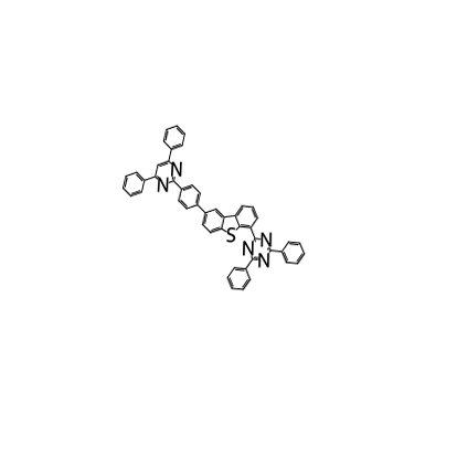 c1ccc(-c2cc(-c3ccccc3)nc(-c3ccc(-c4ccc5sc6c(-c7nc(-c8ccccc8)nc(-c8ccccc8)n7)cccc6c5c4)cc3)n2)cc1